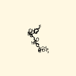 CC(C)c1nccn1Cc1ccc(NC(=O)C=Cc2cnn(C)c2-c2ccc(F)cc2)cc1